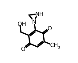 CC1=CC(=O)C(CO)=C(N2CN2)C1=O